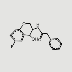 O=C(Cc1ccccc1)NC1COc2ccc(F)cc2C1O